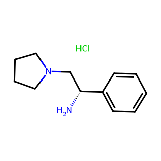 Cl.N[C@H](CN1CCCC1)c1ccccc1